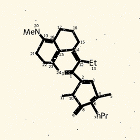 C=C(C1=CC(C)=C(CCC)C(=C)C1C)/C(CC)=C1/CCCC2=C(NC)CCC(C)=C21